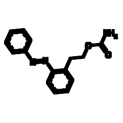 NC(=O)OCCc1ccccc1N=Nc1ccccc1